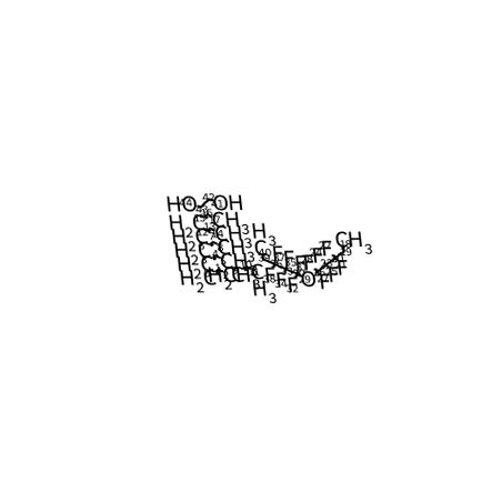 C=CC.C=CC.C=CC.C=CC.C=CC.C=CC.CCC(F)(F)C(F)(F)C(F)(F)OC(F)(F)C(F)(F)C(F)(F)CC.OCCO